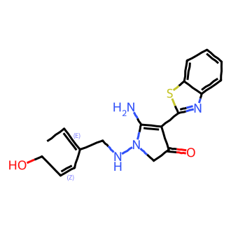 C/C=C(\C=C/CO)CNN1CC(=O)C(c2nc3ccccc3s2)=C1N